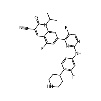 CC(C)n1c(=O)c(C#N)cc2c(F)cc(-c3nc(Nc4ccc(C5CCNCC5)c(F)c4)ncc3F)cc21